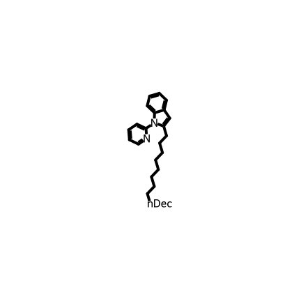 CCCCCCCCCCCCCCCCCCc1cc2ccccc2n1-c1ccccn1